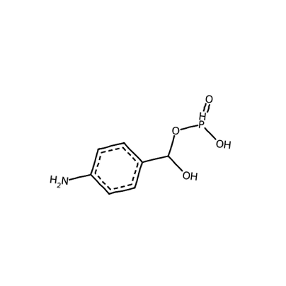 Nc1ccc(C(O)O[PH](=O)O)cc1